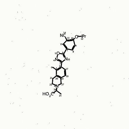 Cc1c(-c2noc(-c3ccc(OC(C)C)c(C#N)c3)n2)ccc2c1CCN(C(C)C(=O)O)C2